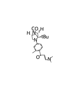 Cc1cc(N2C[C@@H]3C[C@]2(C(C)(C)C)CN3C(=O)O)ccc1C(=O)/C=C/N(C)C